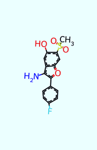 CS(=O)(=O)c1cc2oc(-c3ccc(F)cc3)c(N)c2cc1O